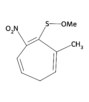 COSC1=C([N+](=O)[O-])C=CCC=C1C